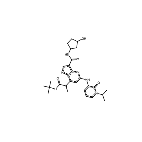 CC(C)n1cccc(Nc2cc(N(C)C(=O)OC(C)(C)C)n3ncc(C(=O)NC4CCC(O)C4)c3n2)c1=O